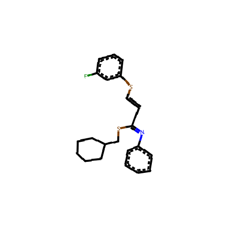 Fc1cccc(SC=CC(=Nc2ccccc2)SCC2CCCCC2)c1